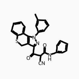 Cc1cccc(-n2nc(C(=O)C(C#N)C(=O)Nc3ccccc3)c3c2-c2ccccc2SC3)c1